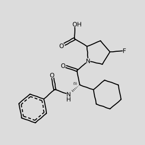 O=C(N[C@H](C(=O)N1CC(F)CC1C(=O)O)C1CCCCC1)c1ccccc1